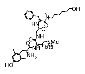 CSCC[C@@H](NC(=O)[C@@H](N)Cc1c(C)cc(O)cc1C)C(=O)NCC(=O)N[C@@H](Cc1ccccc1)C(=O)N(C)CCCCCCO.Cl.O